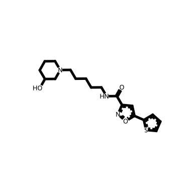 O=C(NCCCCCN1CCCC(O)C1)c1cc(-c2cccs2)on1